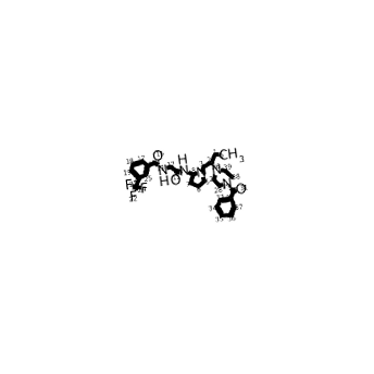 CCC(CN1CCCC1NC(=O)CNC(=O)c1cccc(C(F)(F)F)c1)N1CCN(C(=O)c2ccccc2)CC1